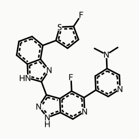 CN(C)c1cncc(-c2ncc3[nH]nc(-c4nc5c(-c6ccc(F)s6)cccc5[nH]4)c3c2F)c1